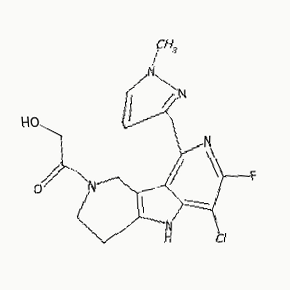 Cn1ccc(-c2nc(F)c(Cl)c3[nH]c4c(c23)CN(C(=O)CO)CC4)n1